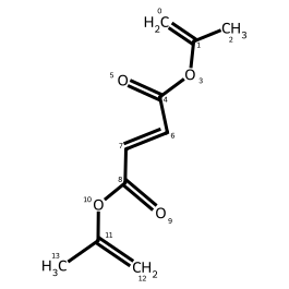 C=C(C)OC(=O)/C=C/C(=O)OC(=C)C